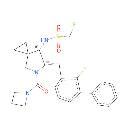 O=C(N1CCC1)N1CC2(CC2)[C@H](NS(=O)(=O)CF)[C@@H]1Cc1cccc(-c2ccccc2)c1F